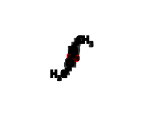 CCCC[C@H]1CC[C@H](OC(=O)[C@H]2CC[C@H](CCCC)CC2)CC1